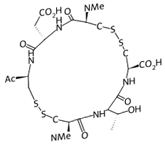 CN[C@H]1CSSC[C@@H](C(C)=O)NC(=O)[C@H](CC(=O)O)NC(=O)[C@@H](NC)CSSC[C@@H](C(=O)O)NC(=O)C([C@@H](C)O)NC1=O